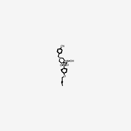 CC#CCOc1ccc(S(=O)(=O)C2(C(=O)NO)CCN(Cc3ccc(C#N)cc3)CC2)cc1